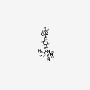 CCc1c(C#N)c(SCc2ccc(/C=C/C(=O)OC(C)(C)C)cc2)nc(N(C)C)c1C#N